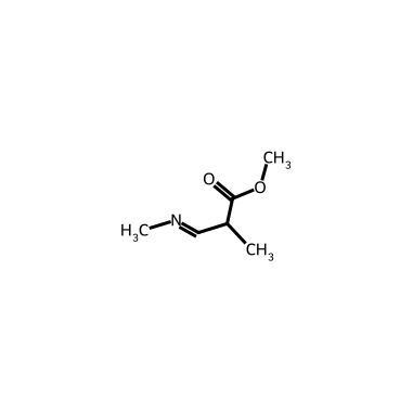 CN=CC(C)C(=O)OC